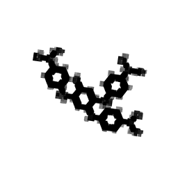 CCN(c1ccc(/N=C2/C=C(Nc3ccc(N(CC)C(C)C)cc3)C(=O)C=C2Nc2ccc(N(CC)C(C)C)cc2)cc1)C(C)C